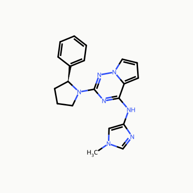 Cn1cnc(Nc2nc(N3CCC[C@H]3c3ccccc3)nn3cccc23)c1